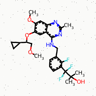 COCC(Oc1cc2c(NCc3cccc(C(F)(F)C(C)(C)O)c3F)nc(C)nc2cc1OC)C1CC1